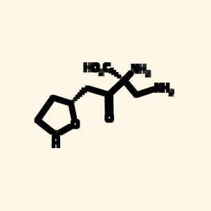 NC[C@@](N)(C(=O)O)C(=O)C[C@H]1CCNO1